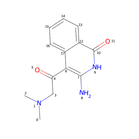 CN(C)CC(=O)c1c(N)[nH]c(=O)c2ccccc12